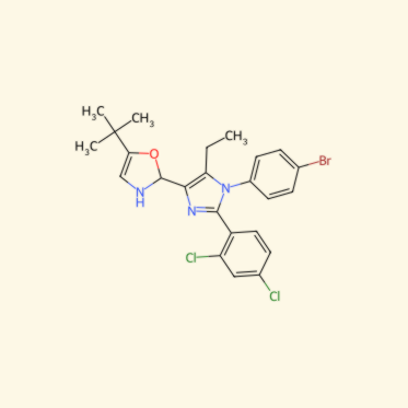 CCc1c(C2NC=C(C(C)(C)C)O2)nc(-c2ccc(Cl)cc2Cl)n1-c1ccc(Br)cc1